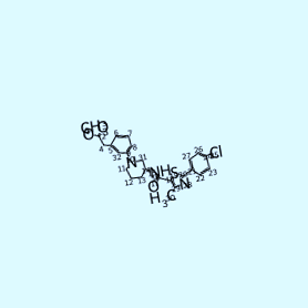 COC(=O)Cc1cccc(N2CCCC(NC(=O)c3sc(-c4ccc(Cl)cc4)nc3C)C2)c1